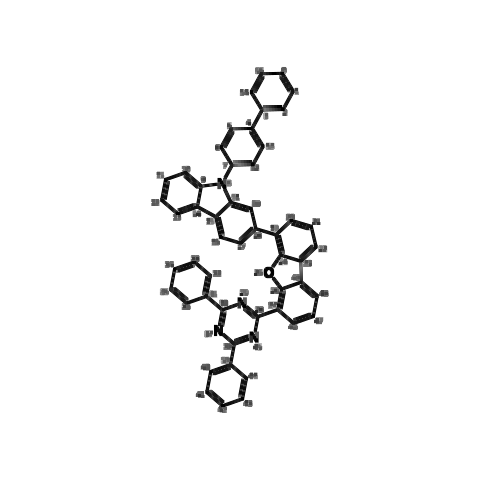 c1ccc(-c2ccc(-n3c4ccccc4c4ccc(-c5cccc6c5oc5c(-c7nc(-c8ccccc8)nc(-c8ccccc8)n7)cccc56)cc43)cc2)cc1